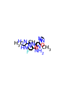 CCC(N)C(CC)Nc1nc(Nc2cnc(OC)c(-n3nccn3)c2)c(C(N)=O)cc1F